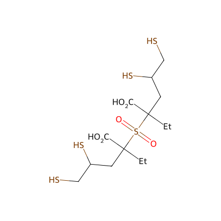 CCC(CC(S)CS)(C(=O)O)S(=O)(=O)C(CC)(CC(S)CS)C(=O)O